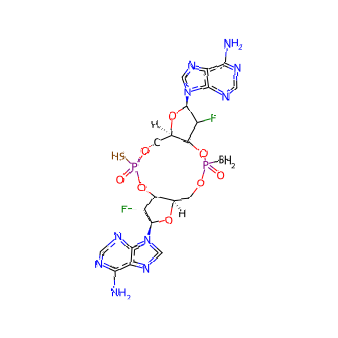 BP1(=O)OC[C@H]2O[C@@H](n3cnc4c(N)ncnc43)C(F)C2OP(=O)(S)OC[C@H]2O[C@@H](n3cnc4c(N)ncnc43)C(F)C2O1